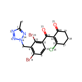 Cc1nnn(Cc2c(Br)ccc(C(=O)C3=C(Cl)CCCC3=O)c2Br)n1